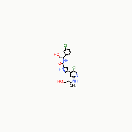 C[C@@H](CCO)Nc1cc(-c2c[nH]c(C(=O)N[C@H](CO)c3cccc(Cl)c3)c2)c(Cl)cn1